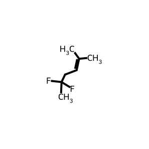 CC(C)=CCC(C)(F)F